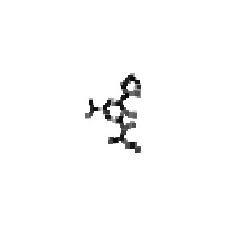 CC(F)c1cc(-n2cncn2)c2ncc(C(N)=O)n2c1